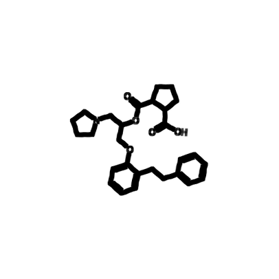 O=C(O)C1CCCC1C(=O)OC(COc1ccccc1CCc1ccccc1)CN1CCCC1